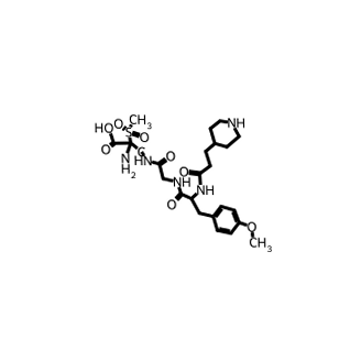 COc1ccc(CC(NC(=O)CCC2CCNCC2)C(=O)NCC(=O)NCC(N)(C(=O)O)S(C)(=O)=O)cc1